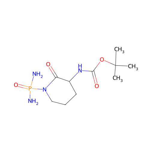 CC(C)(C)OC(=O)NC1CCCN(P(N)(N)=O)C1=O